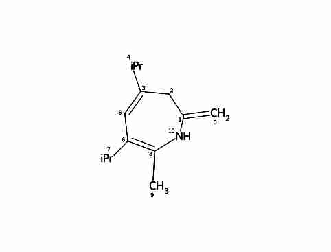 C=C1CC(C(C)C)=CC(C(C)C)=C(C)N1